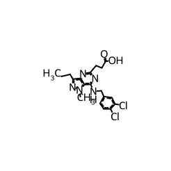 CCCc1nn(C)c2c(NCc3ccc(Cl)c(Cl)c3)nc(CCC(=O)O)nc12